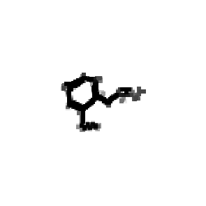 CSc1cncnc1CC(=O)O